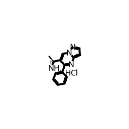 C[C@H](N)c1cn2nccc2nc1-c1ccccc1.Cl